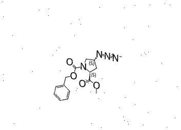 COC(=O)[C@@H]1C[C@H](N=[N+]=[N-])CN1C(=O)OCc1ccccc1